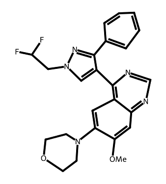 COc1cc2ncnc(-c3cn(CC(F)F)nc3-c3ccccc3)c2cc1N1CCOCC1